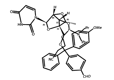 COc1ccc(C(OC[C@]23O[C@@H](n4ccc(=O)[nH]c4=O)[C@H](O[C@@H]2C)[C@@H]3OP(OCCC#N)N(C(C)C)C(C)C)(c2ccccc2)c2ccc(C=O)cc2)cc1